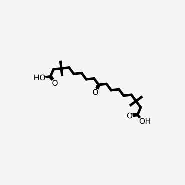 CC(C)(CCCCCC(=O)CCCCCC(C)(C)CC(=O)O)CC(=O)O